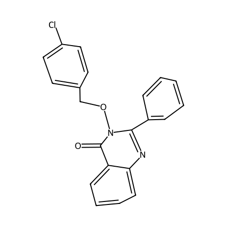 O=c1c2ccccc2nc(-c2ccccc2)n1OCc1ccc(Cl)cc1